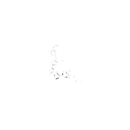 COc1nc(-c2cccc(-c3cccc(-c4cnc(CN5C[C@H](O)C(C)(O)C5)c(OC)n4)c3Cl)c2Cl)cnc1CN1C[C@H](O)[C@@H](O)C1